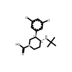 CC(C)(C)N[C@@H]1CCN(C(=O)O)C[C@H]1c1cc(Cl)cc(Cl)c1